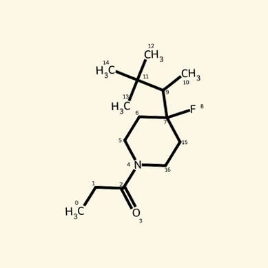 CCC(=O)N1CCC(F)(C(C)C(C)(C)C)CC1